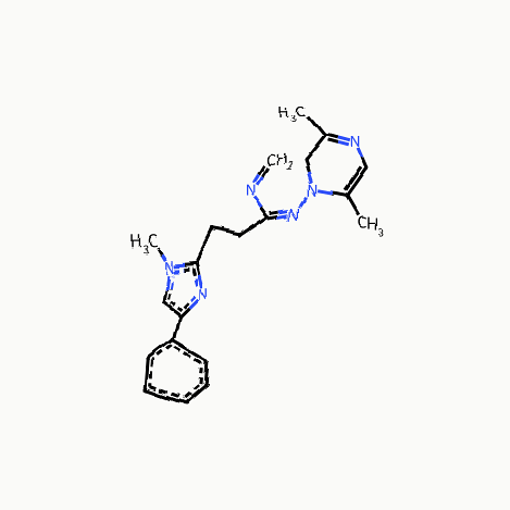 C=N/C(CCc1nc(-c2ccccc2)cn1C)=N\N1CC(C)=NC=C1C